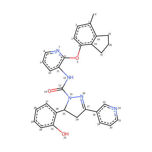 Cc1ccc(Oc2ncccc2NC(=O)N2N=C(c3cccnc3)CC2c2ccccc2O)c2c1CCC2